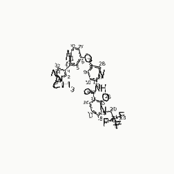 Cn1cc(-c2cc(Oc3ccc(NC(=O)c4cccn(CC(F)(F)F)c4=O)nc3)ccn2)cn1